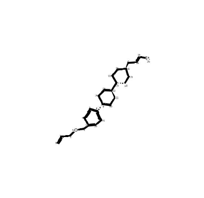 C=CCOCc1ccc([C@H]2CC[C@H]([C@H]3CC[C@H](CC=CCC)CC3)CC2)cc1